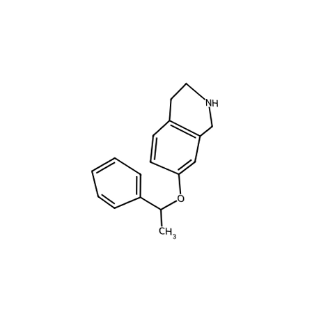 CC(Oc1ccc2c(c1)CNCC2)c1ccccc1